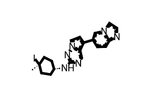 C[C@]1(I)CC[C@H](Nc2ncc3c(-c4ccc5nccn5c4)ccn3n2)CC1